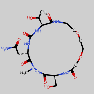 CC(O)[C@@H]1NC(=O)N[C@@H](CC(N)=O)C(=O)N(C)NC(=O)[C@H](CO)NC(=O)COCCOCCNC1=O